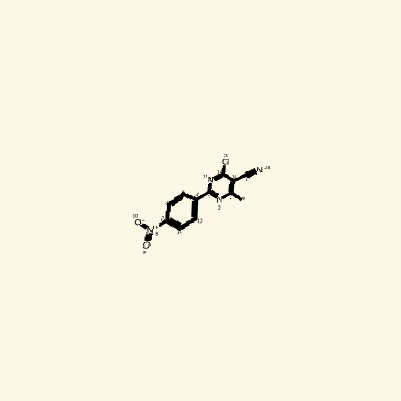 Cc1nc(-c2ccc([N+](=O)[O-])cc2)nc(Cl)c1C#N